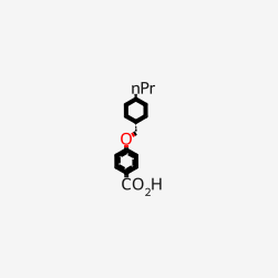 CCC[C@H]1CC[C@H](COc2ccc(C(=O)O)cc2)CC1